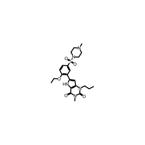 CCCn1c(=O)n(C)c(=O)c2[nH]c(-c3cc(S(=O)(=O)N4CCN(C)CC4)ccc3OCC)cc21